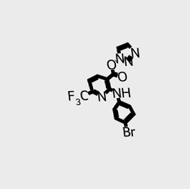 O=C(On1ccnn1)c1ccc(C(F)(F)F)nc1Nc1ccc(Br)cc1